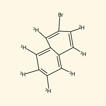 [2H]c1c([2H])c([2H])c2c([2H])c(Br)c([2H])c([2H])c2c1[2H]